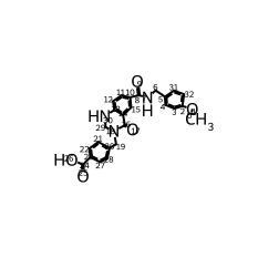 COc1ccc(CNC(=O)c2ccc3c(c2)C(=O)N(Cc2ccc(C(=O)O)cc2)CN3)cc1